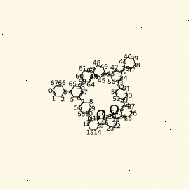 C1=CCC(C2CC(C3CC=C(C4=CCCC5C6=C(OC45)C4=C(CC6)C5CCC=C(C6CC=C(C7=CC(C8=CCCCC8)=CC(C8C=CCCC8)C7)CC6)C5O4)CC3)=CC(C3=CCCC=C3)C2)C=C1